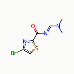 CN(C)C=NC(=O)c1nc(Br)cs1